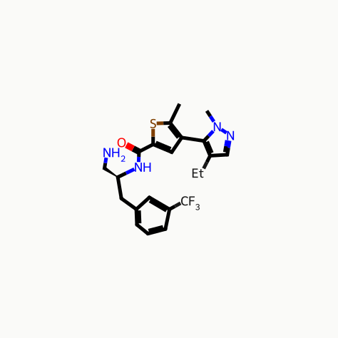 CCc1cnn(C)c1-c1cc(C(=O)N[C@H](CN)Cc2cccc(C(F)(F)F)c2)sc1C